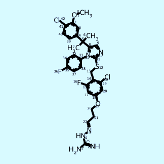 COc1cc(C(C)(C)c2cnc(SCc3c(F)cc(OCCC=NNC(=N)N)cc3Cl)n2-c2ccc(F)cc2)ccc1Cl